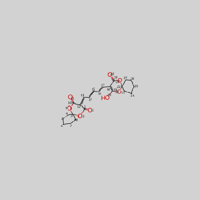 O=C1OC2(CCCCC2)OC(=O)C1=CC=CC=CC1=C(O)OC2(CCCCC2)OC1=O